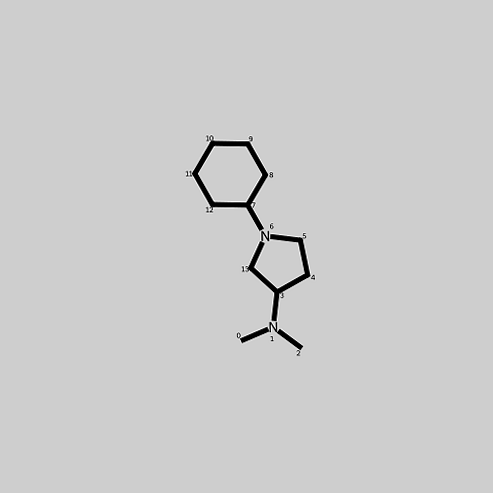 CN(C)C1CCN(C2CCCCC2)C1